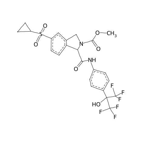 COC(=O)N1Cc2cc(S(=O)(=O)C3CC3)ccc2C1C(=O)Nc1ccc(C(O)(C(F)(F)F)C(F)(F)F)cc1